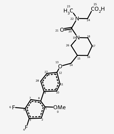 COc1cc(F)c(F)cc1-c1ccc(OCC2CCCN(C(=O)N(C)CC(=O)O)C2)cc1